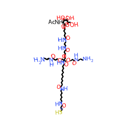 CC(=O)NC1C(O)[C@@H](O)C(CO)O[C@H]1OCCCCC(=O)NCCCNC(=O)CCOCC(COCCC(=O)NCCCN)(COCCC(=O)NCCCN)NC(=O)CCCCCCCCCCC(=O)NCCCCCCNC(=O)/C=C/S